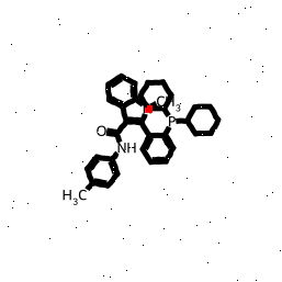 Cc1ccc(NC(=O)c2c(-c3ccccc3P(C3CCCCC3)C3CCCCC3)n(C)c3ccccc23)cc1